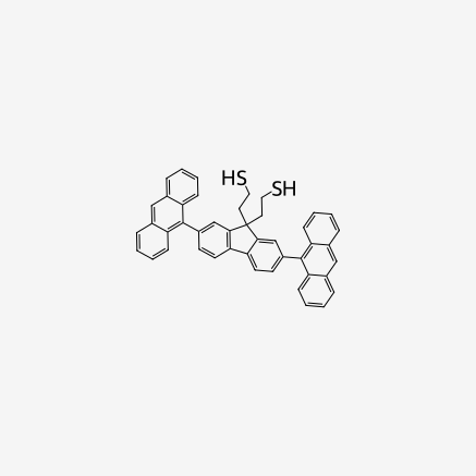 SCCC1(CCS)c2cc(-c3c4ccccc4cc4ccccc34)ccc2-c2ccc(-c3c4ccccc4cc4ccccc34)cc21